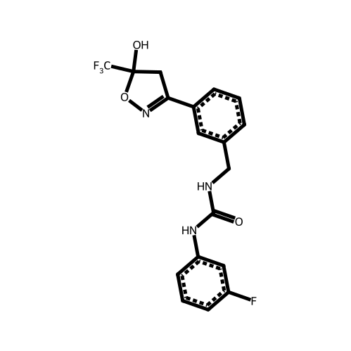 O=C(NCc1cccc(C2=NOC(O)(C(F)(F)F)C2)c1)Nc1cccc(F)c1